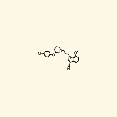 COc1cccc2c(C#N)cn(CCCN3CCCC(Oc4ccc(Cl)cc4)C3)c12